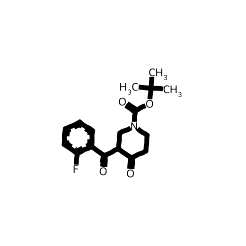 CC(C)(C)OC(=O)N1CCC(=O)C(C(=O)c2ccccc2F)C1